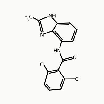 O=C(Nc1cccc2[nH]c(C(F)(F)F)nc12)c1c(Cl)cccc1Cl